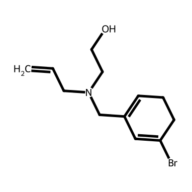 C=CCN(CCO)CC1=CCCC(Br)=C1